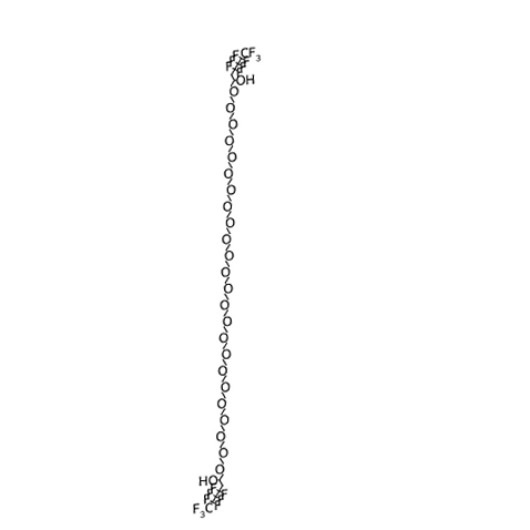 OC(COCCOCCOCCOCCOCCOCCOCCOCCOCCOCCOCCOCCOCCOCCOCCOCCOCCOCCOCCOCCOCCOCCOCCOCC(O)CC(F)(F)C(F)(F)C(F)(F)C(F)(F)F)CC(F)(F)C(F)(F)C(F)(F)C(F)(F)F